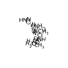 Cc1ccc(NC(=O)OC(C)(C)C)cc1-c1noc(-c2sc(-c3ccc4[nH]cnc4c3)nc2N)n1